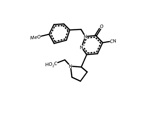 COc1ccc(Cn2nc(C3CCCN3CC(=O)O)cc(C#N)c2=O)cc1